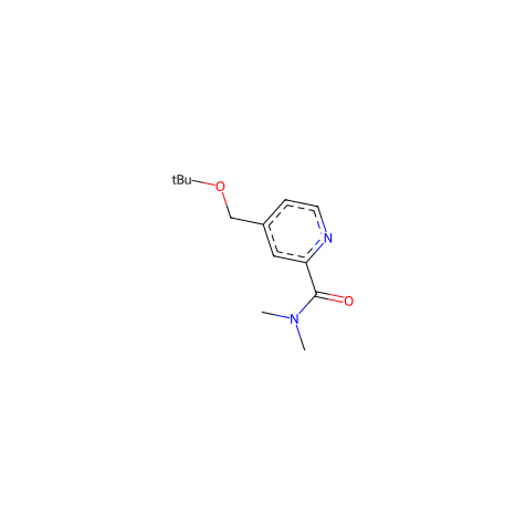 CN(C)C(=O)c1cc(COC(C)(C)C)ccn1